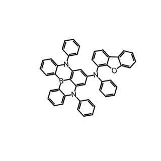 c1ccc(N2c3ccccc3B3c4ccccc4N(c4ccccc4)c4cc(N(c5ccccc5)c5cccc6c5oc5ccccc56)cc2c43)cc1